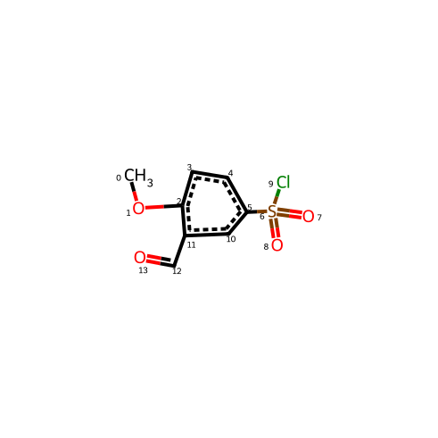 COc1ccc(S(=O)(=O)Cl)cc1C=O